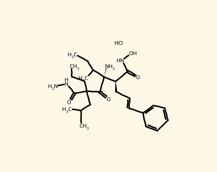 CCCC(CC(C)C)(C(=O)NN)C(=O)[C@@](N)(C(C)CC)[C@H](C/C=C/c1ccccc1)C(=O)NO.Cl